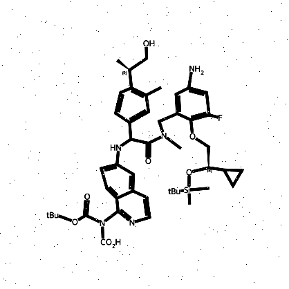 Cc1cc(C(Nc2ccc3c(N(C(=O)O)C(=O)OC(C)(C)C)nccc3c2)C(=O)N(C)Cc2cc(N)cc(F)c2OC[C@H](O[Si](C)(C)C(C)(C)C)C2CC2)ccc1[C@@H](C)CO